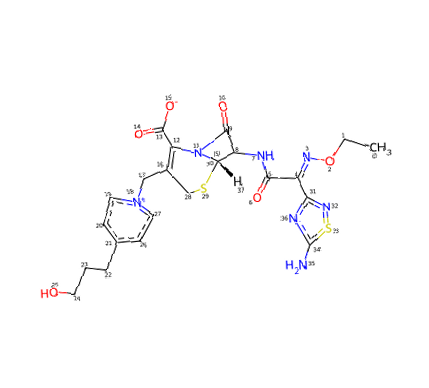 CCON=C(C(=O)NC1C(=O)N2C(C(=O)[O-])=C(C[n+]3ccc(CCCO)cc3)CS[C@@H]12)c1nsc(N)n1